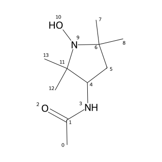 CC(=O)NC1CC(C)(C)N(O)C1(C)C